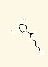 CCCCOC(=O)N1C[C@H](C)N[C@@H](C)C1